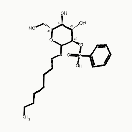 CCCCCCCCSC1O[C@H](CO)[C@@H](O)[C@H](O)[C@H]1OP(=O)(O)c1ccccc1